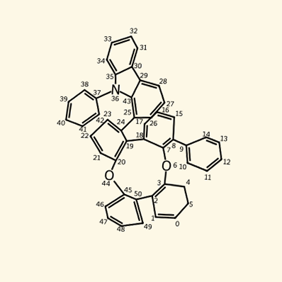 C1=CC2=C(CC1)Oc1c(-c3ccccc3)cccc1-c1c(cccc1-c1cccc3c4ccccc4n(-c4ccccc4)c13)Oc1ccccc12